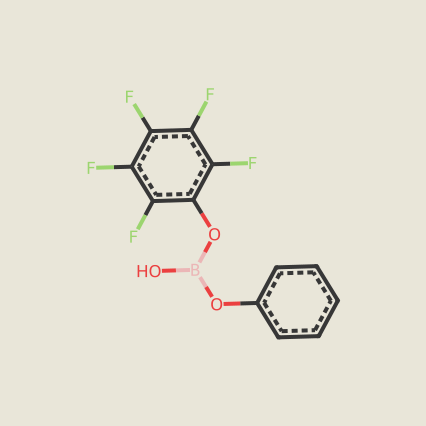 OB(Oc1ccccc1)Oc1c(F)c(F)c(F)c(F)c1F